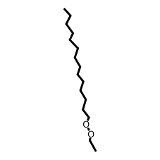 CCCCCCCCCCCCCCOOCC